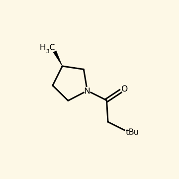 C[C@@H]1CCN(C(=O)CC(C)(C)C)C1